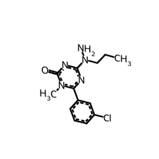 CCCN(N)c1nc(-c2cccc(Cl)c2)n(C)c(=O)n1